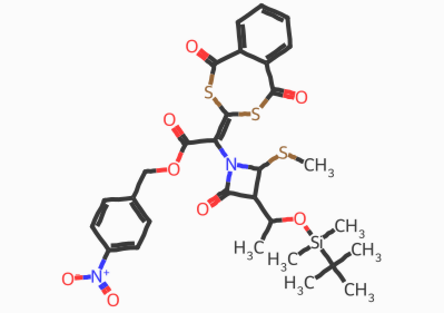 CSC1C(C(C)O[Si](C)(C)C(C)(C)C)C(=O)N1C(C(=O)OCc1ccc([N+](=O)[O-])cc1)=C1SC(=O)c2ccccc2C(=O)S1